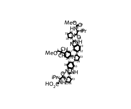 COCC(C)(C)c1ccc(N2[C@@H](c3ccc4[nH]c([C@@H]5CCCN5C(=O)[C@@H](NC(=O)OC)C(C)C)nc4c3)CC[C@@H]2c2ccc3nc([C@@H]4CCCN4C(=O)[C@@H](NC(=O)O)C(C)C)[nH]c3c2)cc1